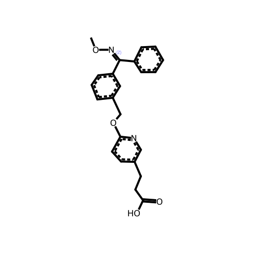 CO/N=C(/c1ccccc1)c1cccc(COc2ccc(CCC(=O)O)cn2)c1